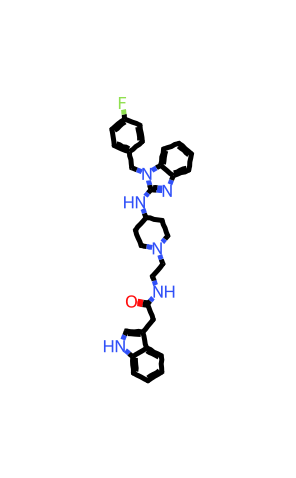 O=C(Cc1c[nH]c2ccccc12)NCCN1CCC(Nc2nc3ccccc3n2Cc2ccc(F)cc2)CC1